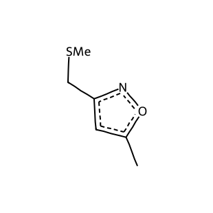 CSCc1cc(C)on1